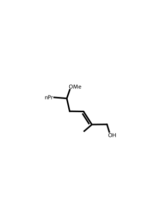 CCCC(C/C=C(\C)CO)OC